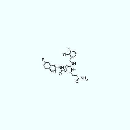 CN(C(=O)NCc1cccc(F)c1Cl)[C@@H](CCC(N)=O)COC(=O)Nc1cc2cc(F)ccc2cn1